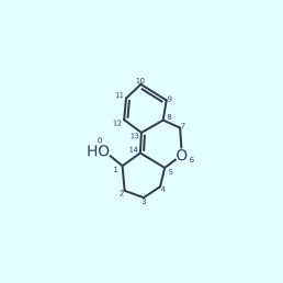 OC1CCCC2OCC3C=CC=CC3=C12